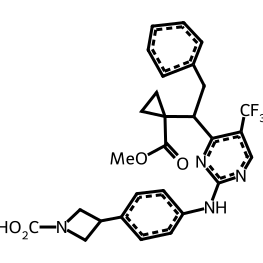 COC(=O)C1(C(Cc2ccccc2)c2nc(Nc3ccc(C4CN(C(=O)O)C4)cc3)ncc2C(F)(F)F)CC1